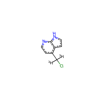 [2H]C([2H])(Cl)c1ccnc2[nH]ccc12